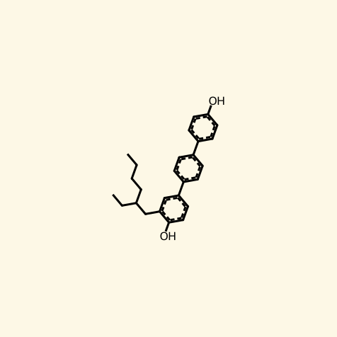 CCCCC(CC)Cc1cc(-c2ccc(-c3ccc(O)cc3)cc2)ccc1O